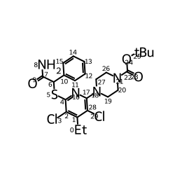 CCc1c(Cl)c(SC(C(N)=O)c2ccccc2)nc(N2CCN(C(=O)OC(C)(C)C)CC2)c1Cl